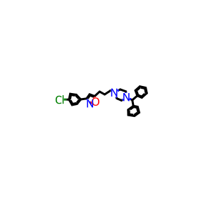 Clc1ccc(-c2cc(CCCN3CCN(C(c4ccccc4)c4ccccc4)CC3)on2)cc1